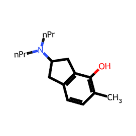 CCCN(CCC)C1Cc2ccc(C)c(O)c2C1